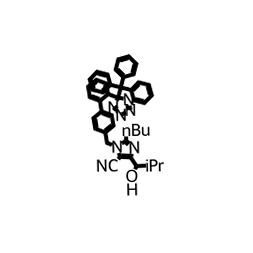 CCCCc1nc(C(O)C(C)C)c(C#N)n1Cc1ccc(-c2ccccc2C2(C(c3ccccc3)(c3ccccc3)c3ccccc3)N=NN=N2)cc1